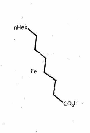 CCCCCCCCCCCCC(=O)O.[Fe]